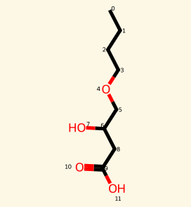 CCCCOCC(O)CC(=O)O